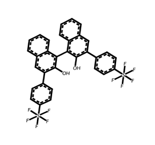 Oc1c(-c2ccc(S(F)(F)(F)(F)F)cc2)cc2ccccc2c1-c1c(O)c(-c2ccc(S(F)(F)(F)(F)F)cc2)cc2ccccc12